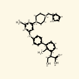 Cc1c(-c2ccc(Oc3cc(N4CCN(Cc5ccco5)CC4)nc(N)n3)cc2)cccc1C(CO)C(=O)O